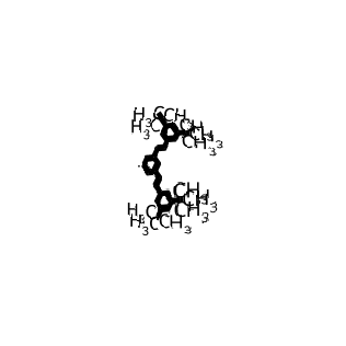 CC(C)(C)c1cc(C=Cc2c[c]cc(C=Cc3cc(C(C)(C)C)cc(C(C)(C)C)c3)c2)cc(C(C)(C)C)c1